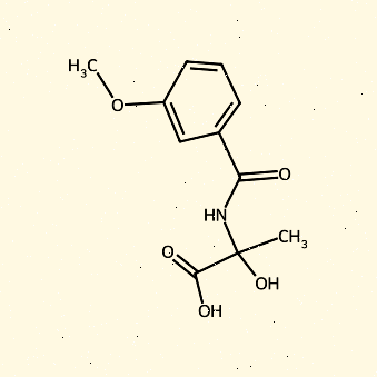 COc1cccc(C(=O)NC(C)(O)C(=O)O)c1